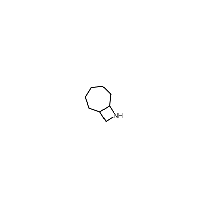 C1CCC2CNC2CC1